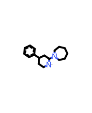 c1ccc(C2CC[N]C(N3CCCCCC3)C2)cc1